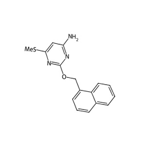 CSc1cc(N)nc(OCc2cccc3ccccc23)n1